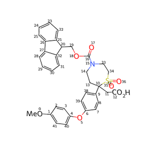 COc1ccc(Oc2ccc(C3(CC(=O)O)CCN(C(=O)OCC4c5ccccc5-c5ccccc54)CCS3(=O)=O)cc2)cc1